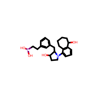 OC1CCCCc2c1cccc2N1CCC(O)C1Cc1cccc(CCP(O)O)c1